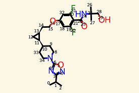 CC(C)c1noc(N2CCC([C@H]3C[C@H]3CCOc3cc(F)c(C(=O)NC(C)(C)CO)c(F)c3)CC2)n1